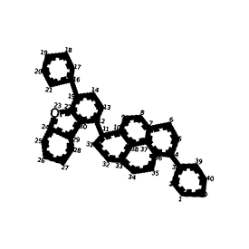 c1ccc(-c2ccc3ccc4c(-c5ccc(-c6ccccc6)c6oc7ccccc7c56)ccc5ccc2c3c54)cc1